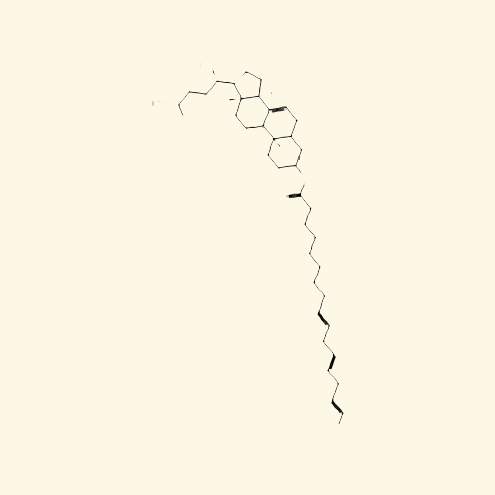 CCC=CCC=CCC=CCCCCCCCC(=O)OC1CC[C@@]2(C)C(CC=C3[C@@H]4CC[C@H]([C@H](C)CC[C@H](C)C(C)C)[C@@]4(C)CC[C@@H]32)C1